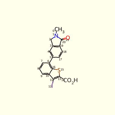 CN1Cc2cc(-c3cccc4c(I)c(C(=O)O)sc34)ccc2C1=O